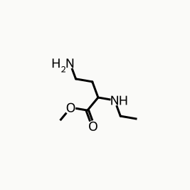 CCNC(CCN)C(=O)OC